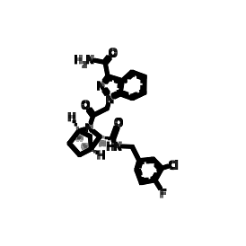 NC(=O)c1nn(CC(=O)N2[C@@H]3CC[C@@H](C3)[C@H]2C(=O)NCc2ccc(F)c(Cl)c2)c2ccccc12